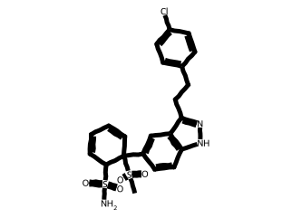 CS(=O)(=O)C1(c2ccc3[nH]nc(CCc4ccc(Cl)cc4)c3c2)C=CC=CC1S(N)(=O)=O